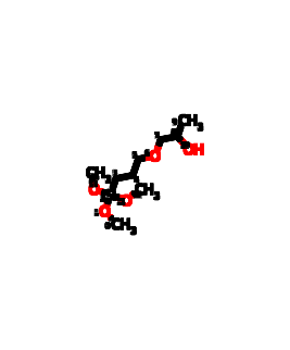 CO[Si](CCCOCC(C)O)(OC)OC